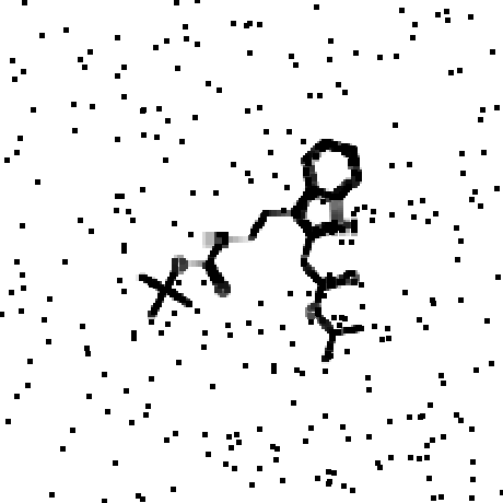 CC(C)OC(=O)Cc1[nH]c2ccccc2c1CCNC(=O)OC(C)(C)C